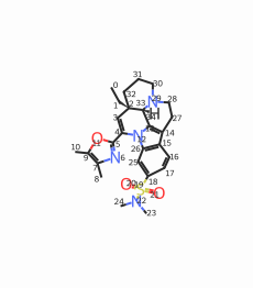 CC[C@@]12C=C(c3nc(C)c(C)o3)n3c4c(c5ccc(S(=O)(=O)N(C)C)cc53)CCN(CCC1)[C@H]42